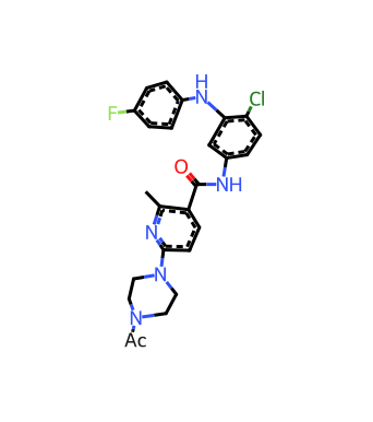 CC(=O)N1CCN(c2ccc(C(=O)Nc3ccc(Cl)c(Nc4ccc(F)cc4)c3)c(C)n2)CC1